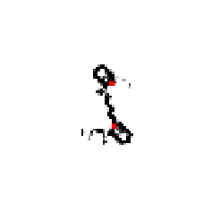 C=CNC1=C2CCCC(=CC1)N2CCCCCCNC1=C2CCCC(=CC1)N2C=C